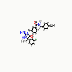 CC(C)CC1(c2cccc(F)c2)NC(=N)N(Cc2cccc(C(=O)N(C)Cc3ccc(C#N)cc3)c2)C1=O